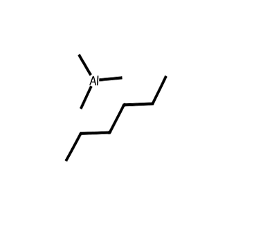 CCCCCC.[CH3][Al]([CH3])[CH3]